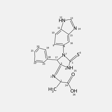 CC(/N=C1\NC(=S)N(c2ccc3[nH]cnc3c2)C1c1ccccc1)C(=O)O